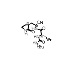 CC(C)C[C@H](NC(=O)NC(C)(C)C)C(=O)N[C@H](C#N)C[C@@H]1CCNC1=O